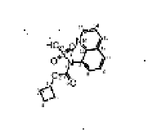 O=C(OC1CCC1)N(c1cccc2cccnc12)S(=O)(=O)O